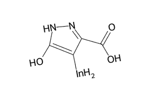 O=C(O)c1n[nH]c(O)[c]1[InH2]